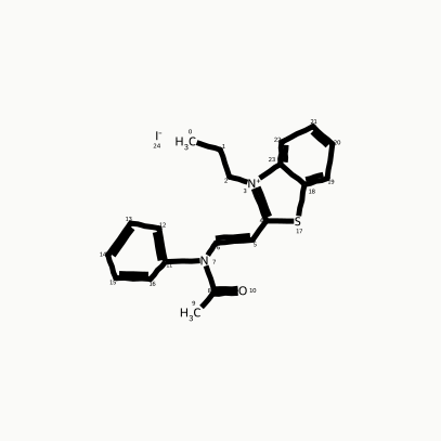 CCC[n+]1c(/C=C/N(C(C)=O)c2ccccc2)sc2ccccc21.[I-]